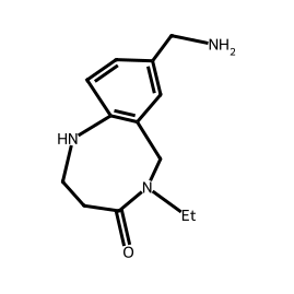 CCN1Cc2cc(CN)ccc2NCCC1=O